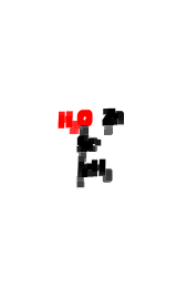 O.[InH3].[Sc].[Zn]